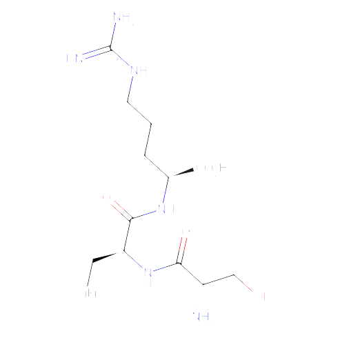 CC(C)C[C@H](NC(=O)[C@@H](N)CO)C(=O)N[C@@H](CCCNC(=N)N)C(=O)O